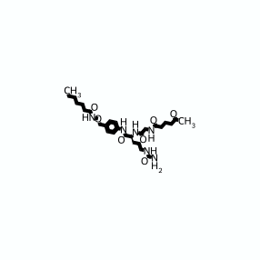 CCCCCCC(=O)NOCc1ccc(NC(=O)[C@H](CCCNC(N)=O)NC(=O)CNC(=O)CCCC(C)=O)cc1